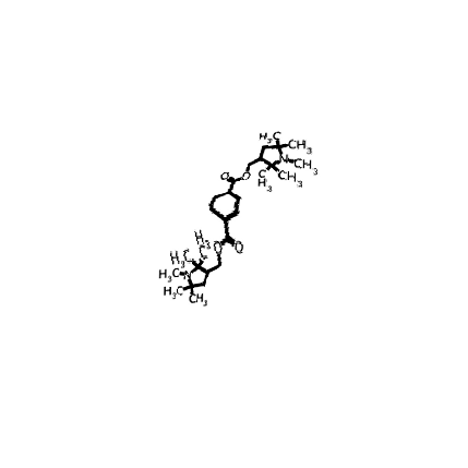 CN1C(C)(C)CC(COC(=O)C2CCC(C(=O)OCC3CC(C)(C)N(C)C3(C)C)CC2)C1(C)C